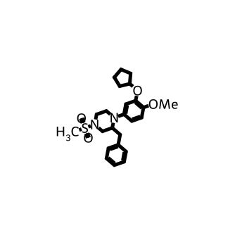 COc1ccc(N2CCN(S(C)(=O)=O)CC2Cc2ccccc2)cc1OC1CCCC1